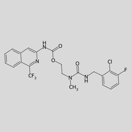 CN(CCOC(=O)Nc1cc2ccccc2c(C(F)(F)F)n1)C(=O)NCc1cccc(F)c1Cl